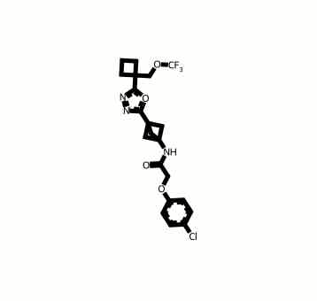 O=C(COc1ccc(Cl)cc1)NC12CC(c3nnc(C4(COC(F)(F)F)CCC4)o3)(C1)C2